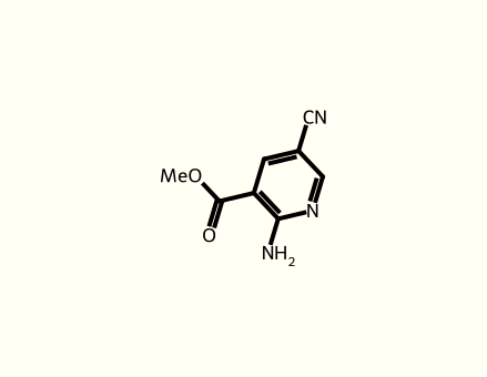 COC(=O)c1cc(C#N)cnc1N